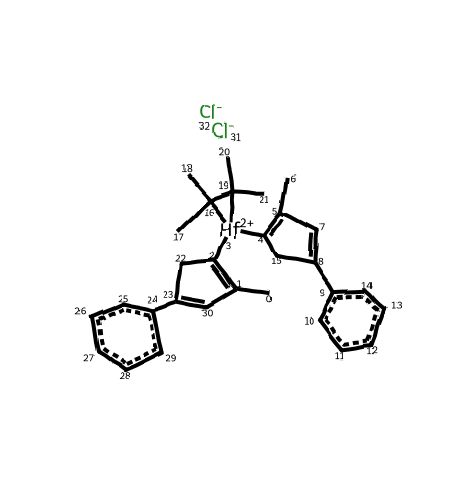 CC1=[C]([Hf+2]2([C]3=C(C)C=C(c4ccccc4)C3)[C](C)(C)[C]2(C)C)CC(c2ccccc2)=C1.[Cl-].[Cl-]